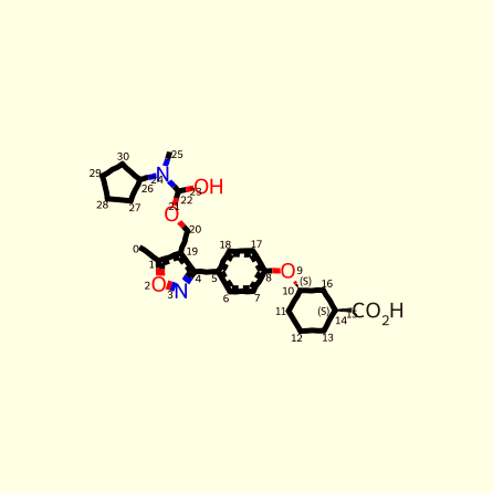 Cc1onc(-c2ccc(O[C@H]3CCC[C@H](C(=O)O)C3)cc2)c1COC(O)N(C)C1CCCC1